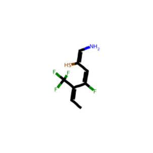 C\C=C(/C(F)=C\C(S)=C/N)C(F)(F)F